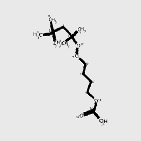 CC(C)(C)CC(C)(C)OOCCCCOC(=O)O